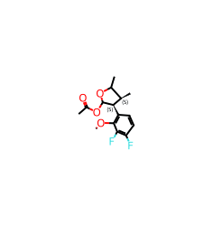 COc1c([C@H]2C(OC(C)=O)OC(C)[C@H]2C)ccc(F)c1F